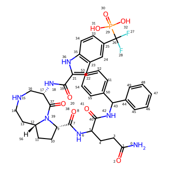 NC(=O)CCC(NC(=O)[C@@H]1CC[C@@H]2CCNC[C@H](NC(=O)c3cc4cc(C(F)(F)P(=O)(O)O)ccc4[nH]3)C(=O)N21)C(=O)NC(c1ccccc1)c1ccccc1